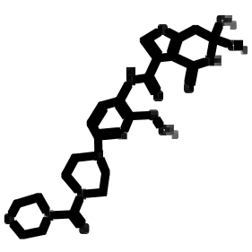 COc1nc(N2CCN(C(=O)N3CCOCC3)CC2)ccc1NC(=O)c1coc2c1C(=O)NC(C)(C)C2